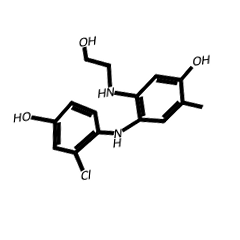 Cc1cc(Nc2ccc(O)cc2Cl)c(NCCO)cc1O